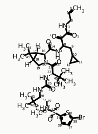 C=CCNC(=O)C(=O)C(CC1CC1)NC(=O)[C@@H]1[C@@H]2[C@H](CN1C(=O)[C@@H](NC(=O)N[C@H](CN(C)S(=O)(=O)c1ccc(Br)s1)C(C)(C)C)C(C)(C)C)C2(C)C